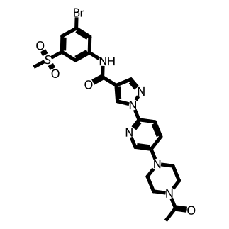 CC(=O)N1CCN(c2ccc(-n3cc(C(=O)Nc4cc(Br)cc(S(C)(=O)=O)c4)cn3)nc2)CC1